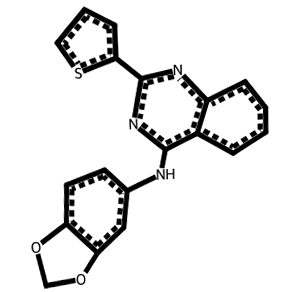 c1csc(-c2nc(Nc3ccc4c(c3)OCO4)c3ccccc3n2)c1